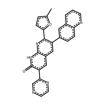 Cc1ccc(-c2nc3[nH]c(=O)c(-c4cnccn4)cc3cc2-c2ccc3ncccc3c2)o1